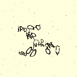 Cc1c(NC(=O)[C@H]2CC(c3nnc(-c4cc(Cl)ccc4OC(C)C)o3)CN(C(=O)OC(C)(C)C)C2)c(=O)n(-c2ccccc2)n1C